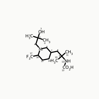 CC(C)(O)CN1CC(CC(C)(C)NC(=O)O)CCC1C(F)(F)F